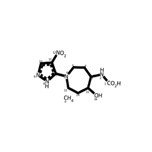 C.O=C(O)NC1CCN(c2[nH]ncc2[N+](=O)[O-])CCC1O